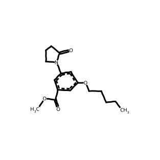 CCCCCOc1cc(C(=O)OC)cc(N2CCCC2=O)c1